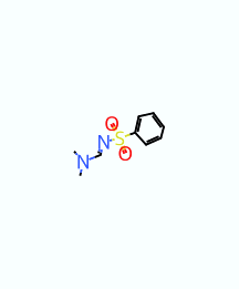 CN(C)/C=N/S(=O)(=O)c1ccccc1